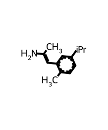 C/C(N)=C\c1cc(C(C)C)ccc1C